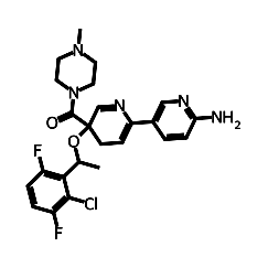 CC(OC1(C(=O)N2CCN(C)CC2)C=NC(c2ccc(N)nc2)=CC1)c1c(F)ccc(F)c1Cl